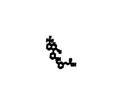 N#Cc1cnc2c(C(F)(F)F)cccc2c1-c1cccc(NCc2cccc(CCC(=O)O)c2)c1